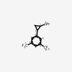 CCCC1CC1c1cc(C(F)(F)F)cc(C(F)(F)F)c1